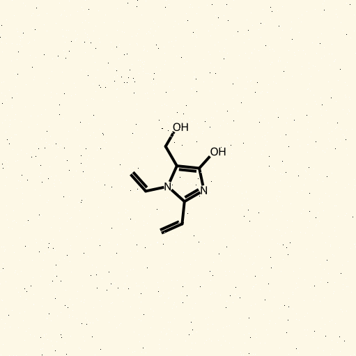 C=Cc1nc(O)c(CO)n1C=C